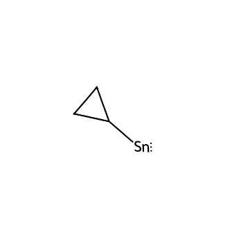 [Sn][CH]1CC1